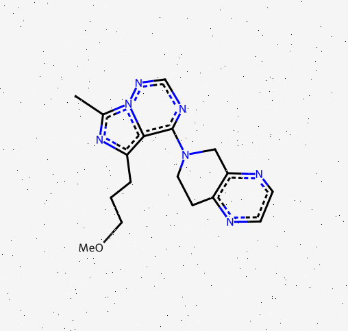 COCCCc1nc(C)n2ncnc(N3CCc4nccnc4C3)c12